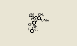 CCc1cccc(F)c1CNc1cc(F)c(S(=O)(=O)N(Cc2ccc(OC)cc2C)c2cscn2)cc1Cl